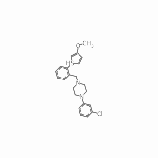 COC1=C[SH](c2ccccc2CN2CCN(c3cccc(Cl)c3)CC2)C=C1